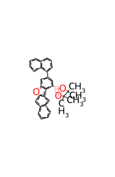 CC1(C)OB(c2cc(-c3cccc4ccccc34)cc3oc4cc5ccccc5cc4c23)OC1(C)C